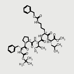 COC(=O)[C@H](CC(C)C)NC(=O)[C@H](CCCNC(=O)OCc1ccccc1)NC(=O)[C@@H](NC(=O)[C@@H]1CCCN1C(=O)[C@@H](Cc1ccccc1)NC(=O)OC(C)(C)C)C(C)C